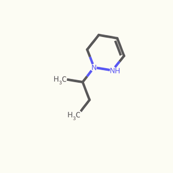 CCC(C)N1CCC=CN1